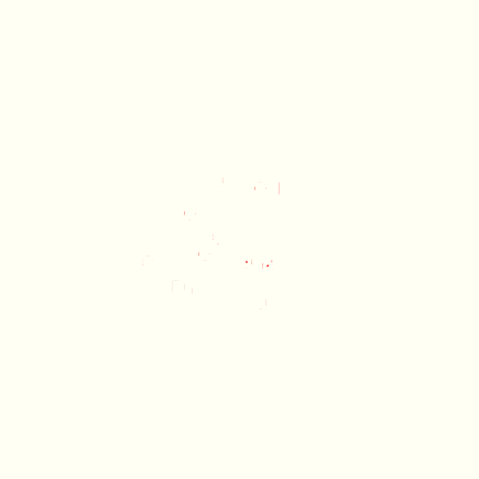 CCC1OCCC(OC2OC(COCc3ccccc3)C(C)C(O)C2OCc2ccccc2)C1OC1OC(C)C(C)C(OCc2ccccc2)C1OCc1ccccc1